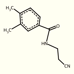 Cc1ccc(C(=O)NCCC#N)cc1C